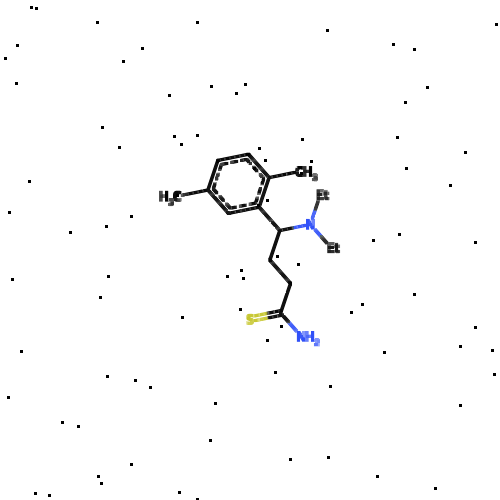 CCN(CC)C(CCC(N)=S)c1cc(C)ccc1C